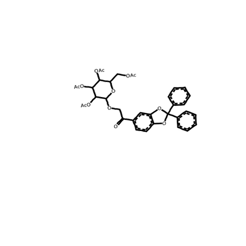 CC(=O)OCC1OC(OCC(=O)c2ccc3c(c2)OC(c2ccccc2)(c2ccccc2)O3)C(OC(C)=O)C(OC(C)=O)C1OC(C)=O